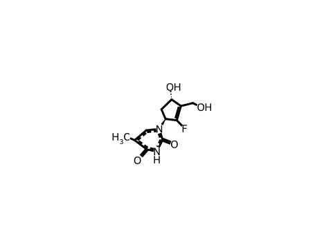 Cc1cn([C@H]2C[C@H](O)C(CO)=C2F)c(=O)[nH]c1=O